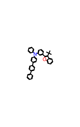 CC(C)(C)c1c(-c2cccc(N(c3ccccc3)c3ccc(-c4ccc(-c5ccccc5)cc4)cc3)c2)oc2ccccc12